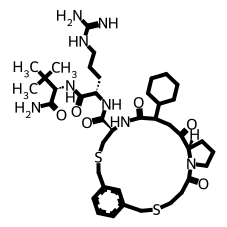 CC(C)(C)[C@H](NC(=O)[C@H](CCCNC(=N)N)NC(=O)[C@@H]1CSCc2cccc(c2)CSCCC(=O)N2CCC[C@H]2C(=O)CC(C2CCCCC2)C(=O)N1)C(N)=O